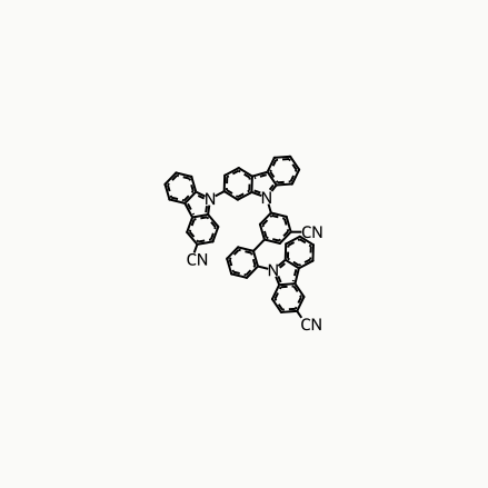 N#Cc1cc(-c2ccccc2-n2c3ccccc3c3cc(C#N)ccc32)cc(-n2c3ccccc3c3ccc(-n4c5ccccc5c5cc(C#N)ccc54)cc32)c1